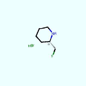 Br.FC[C@@H]1CCCCN1